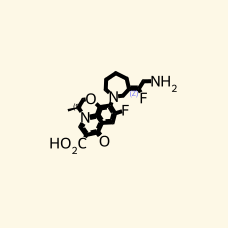 C[C@H]1COc2c(N3CCCC/C(=C(/F)CN)C3)c(F)cc3c(=O)c(C(=O)O)cn1c23